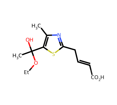 CCOC(C)(O)c1sc(C/C=C/C(=O)O)nc1C